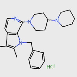 Cc1c(C)n(Cc2ccccc2)c2c(N3CCC(N4CCCCC4)CC3)nccc12.Cl